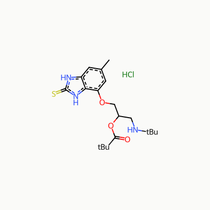 Cc1cc(OCC(CNC(C)(C)C)OC(=O)C(C)(C)C)c2[nH]c(=S)[nH]c2c1.Cl